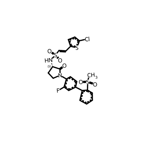 CS(=O)(=O)c1ccccc1-c1ccc(N2CC[C@H](NS(=O)(=O)C=Cc3ccc(Cl)s3)C2=O)c(F)c1